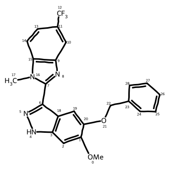 COc1cc2[nH]nc(-c3nc4cc(C(F)(F)F)ccc4n3C)c2cc1OCc1ccccc1